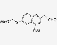 CCCCc1cc(CC=O)cc2ccc(SCOC)cc12